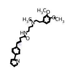 COc1ccc(CCN(C)CCCNC(=O)C/C=C/c2ccc(-c3ccccn3)cc2)cc1OC